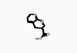 O=C(O)C1C=Nc2ncccc2C1